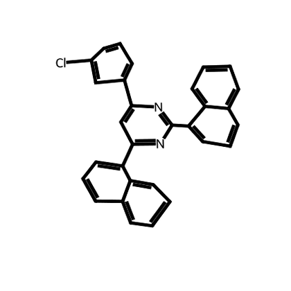 Clc1cccc(-c2cc(-c3cccc4ccccc34)nc(-c3cccc4ccccc34)n2)c1